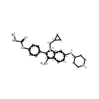 CCNC(=O)Oc1ccc(-c2c(N)c3ccc(OC4CCOCC4)cc3n2CC2CC2)cc1